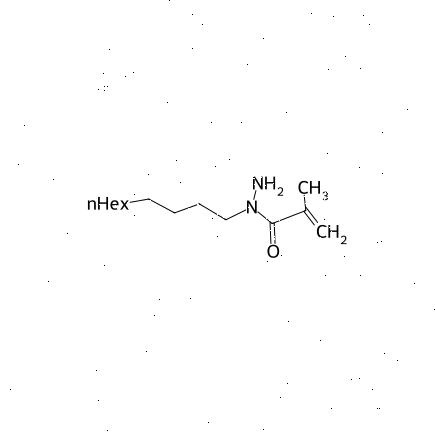 C=C(C)C(=O)N(N)CCCCCCCCCC